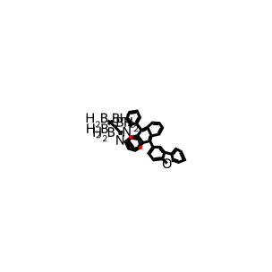 BC(B)(B)C(B)(B)c1nc2ccccc2n1-c1ccccc1-c1c2ccccc2c(-c2ccc3oc4ccccc4c3c2)c2ccccc12